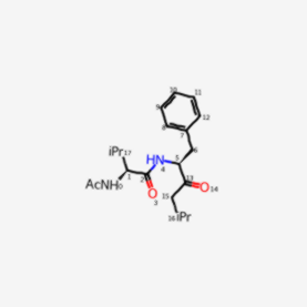 CC(=O)N[C@H](C(=O)N[C@@H](Cc1ccccc1)C(=O)CC(C)C)C(C)C